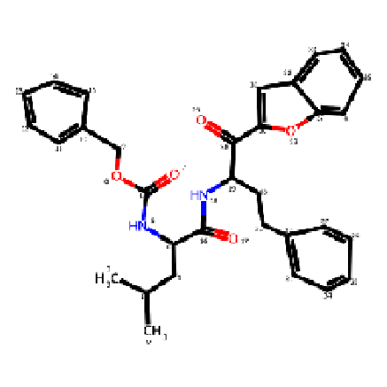 CC(C)CC(NC(=O)OCc1ccccc1)C(=O)NC(CCc1ccccc1)C(=O)c1cc2ccccc2o1